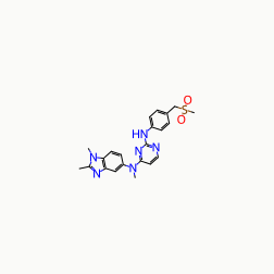 Cc1nc2cc(N(C)c3ccnc(Nc4ccc(CS(C)(=O)=O)cc4)n3)ccc2n1C